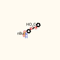 CCCCS(=O)(=O)Nc1ccc(OCCOc2ccccc2C(=O)O)cc1